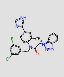 O=C(Cn1nnc2ccccc21)N(Cc1cc(F)cc(Cl)c1)c1ccc(-c2c[nH]cn2)cc1C(F)(F)F